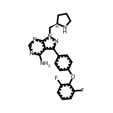 Nc1ncnc2c1c(-c1ccc(Oc3c(F)cccc3F)cc1)nn2C[C@H]1CCCN1